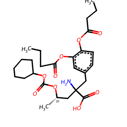 CCCC(=O)Oc1ccc(CC(N)(C[C@H](C)OC(=O)OC2CCCCC2)C(=O)O)cc1OC(=O)CCC